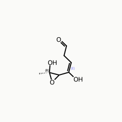 C[C@@]1(O)OC1/C(O)=C\CC=O